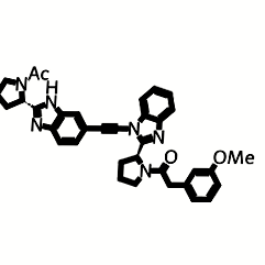 COc1cccc(CC(=O)N2CCC[C@H]2c2nc3ccccc3n2C#Cc2ccc3nc([C@@H]4CCCN4C(C)=O)[nH]c3c2)c1